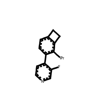 CC(C)c1c(-c2ccncc2F)ccc2c1CC2